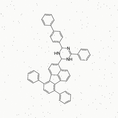 c1ccc(C2=NC(c3ccc(-c4ccccc4)cc3)NC(c3ccc4c5c(cccc35)-c3c(-c5ccccc5)ccc(-c5ccccc5)c3-4)N2)cc1